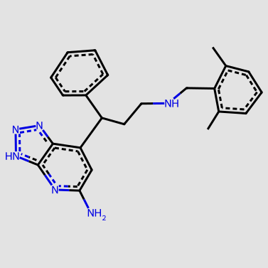 Cc1cccc(C)c1CNCCC(c1ccccc1)c1cc(N)nc2[nH]nnc12